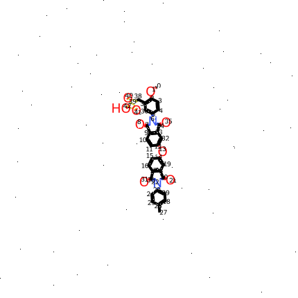 COc1ccc(N2C(=O)c3ccc(Oc4ccc5c(c4)C(=O)N(c4ccc(C)cc4)C5=O)cc3C2=O)cc1CS(=O)(=O)O